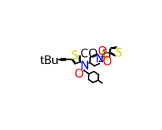 CC1CCC(C(=O)N(c2cc(C#CC(C)(C)C)sc2C(=O)O)C2CCN(S(=O)(=O)c3ccsc3)CC2)CC1